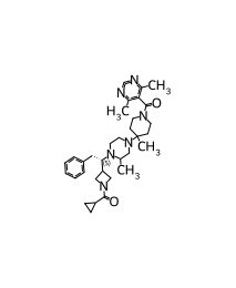 Cc1ncnc(C)c1C(=O)N1CCC(C)(N2CCN([C@@H](Cc3ccccc3)C3CN(C(=O)C4CC4)C3)C(C)C2)CC1